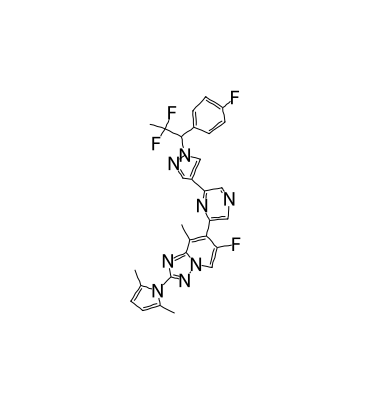 Cc1c(-c2cncc(-c3cnn(C(c4ccc(F)cc4)C(C)(F)F)c3)n2)c(F)cn2nc(-n3c(C)ccc3C)nc12